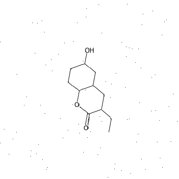 CCC1CC2CC(O)CCC2OC1=O